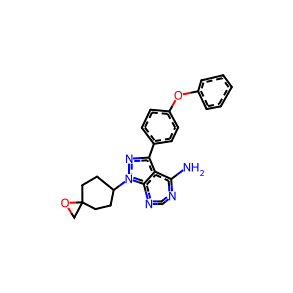 Nc1ncnc2c1c(-c1ccc(Oc3ccccc3)cc1)nn2C1CCC2(CC1)CO2